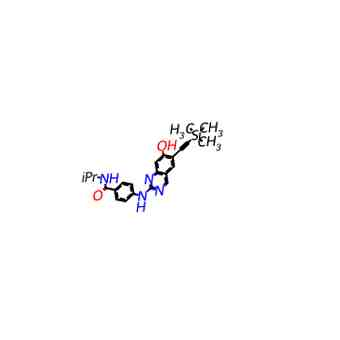 CC(C)NC(=O)c1ccc(Nc2ncc3cc(C#C[Si](C)(C)C)c(O)cc3n2)cc1